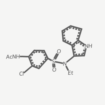 CCN(c1c[nH]c2ccccc12)S(=O)(=O)c1ccc(NC(C)=O)c(Cl)c1